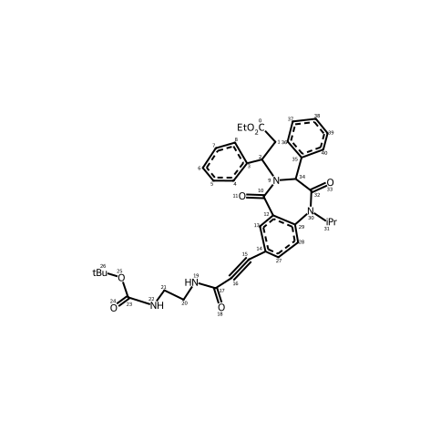 CCOC(=O)CC(c1ccccc1)N1C(=O)c2cc(C#CC(=O)NCCNC(=O)OC(C)(C)C)ccc2N(C(C)C)C(=O)C1c1ccccc1